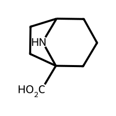 O=C(O)C12CCCC(CC1)N2